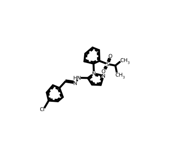 CC(C)S(=O)(=O)c1ccccc1-n1nccc1NN=Cc1ccc(Cl)cc1